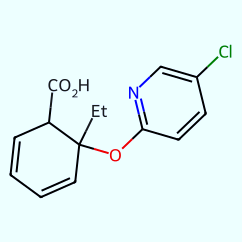 CCC1(Oc2ccc(Cl)cn2)C=CC=CC1C(=O)O